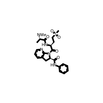 CN[C@@H](C)C(=O)N[C@@H](CCS(C)(=O)=O)C(=O)N1c2ncccc2C[C@@H]1C(=O)Nc1ccccc1